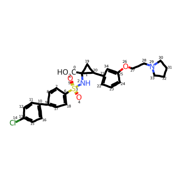 O=C(O)C1(NS(=O)(=O)c2ccc(-c3ccc(Cl)cc3)cc2)CC1c1cccc(OCCN2CCCC2)c1